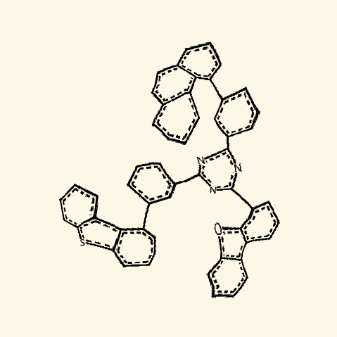 c1cc(-c2nc(-c3cccc(-c4cccc5sc6ccccc6c45)c3)nc(-c3cccc4c3oc3ccccc34)n2)cc(-c2cccc3ccc4ccccc4c23)c1